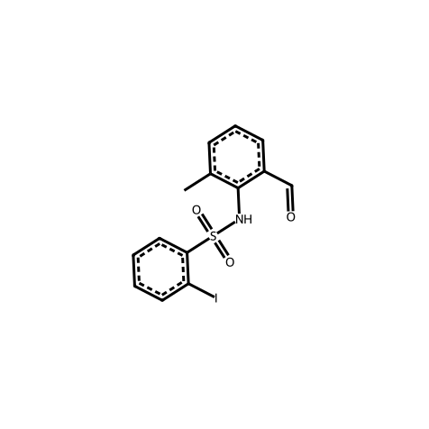 Cc1cccc(C=O)c1NS(=O)(=O)c1ccccc1I